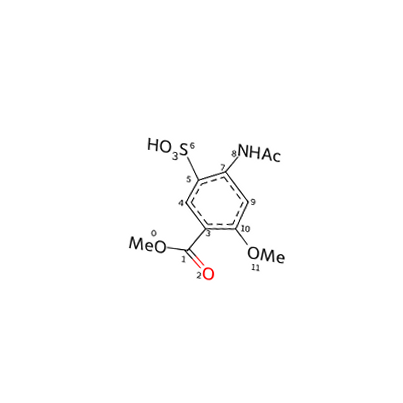 COC(=O)c1cc(S(=O)(=O)O)c(NC(C)=O)cc1OC